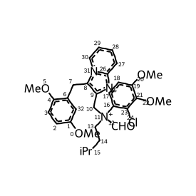 COc1ccc(OC)c(Cc2c(C[N+](C=O)(CCC(C)C)c3ccc(OC)c(OC)c3Cl)nc3ccccn23)c1